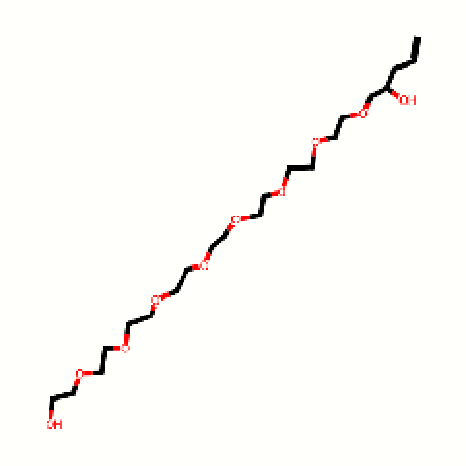 C=CCC(O)COCCOCCOCCOCCOCCOCCOCCOCCO